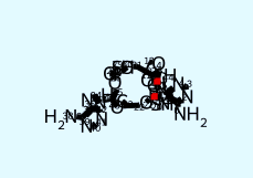 Nc1ncnc2c1ncn2[C@@H]1O[C@@]23CO[C@@H]1[C@@H]2O[P@](=O)(S)OCC1C[C@@H](O[P@@](=O)(S)OC3)[C@H](n2cnc3c(N)ncnc32)O1